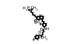 C=C(CCCC(=O)Nc1ccc(CCc2ccnc3cc(CCCCCN(CC)CC)c(OC)cc23)c(F)c1)Nc1ccc(F)cc1